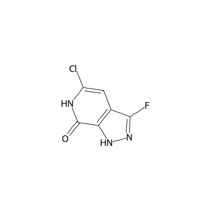 O=c1[nH]c(Cl)cc2c(F)n[nH]c12